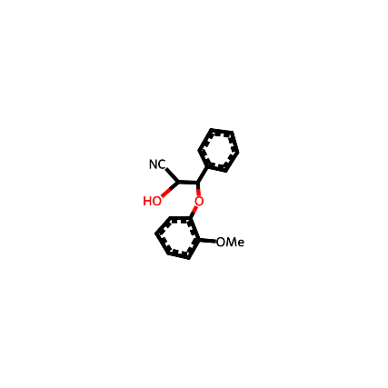 COc1ccccc1OC(c1ccccc1)C(O)C#N